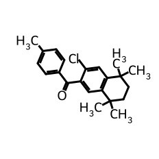 Cc1ccc(C(=O)c2cc3c(cc2Cl)C(C)(C)CCC3(C)C)cc1